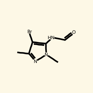 Cc1nn(C)c(NC=O)c1Br